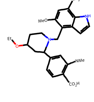 CCOC1CCN(Cc2c(OC)cc(C)c3[nH]ccc23)C(c2ccc(C(=O)O)c(NC)c2)C1